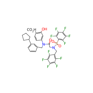 O=C(O)c1ccc(N(Cc2cccc(C3CCCC3)c2)C(=O)CN(Cc2c(F)c(F)c(F)c(F)c2F)S(=O)(=O)c2c(F)c(F)c(F)c(F)c2F)cc1O